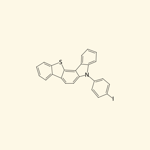 Ic1ccc(-n2c3ccccc3c3c4sc5ccccc5c4ccc32)cc1